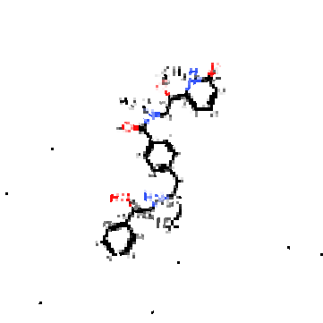 CC[C@@H](Cc1ccc(C(=O)N(C)CC(OC)c2cccc(=O)[nH]2)cc1)NC[C@H](O)c1ccccc1